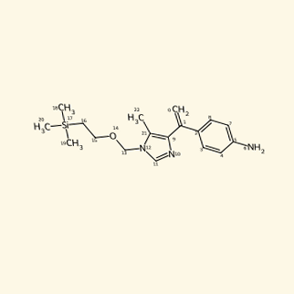 C=C(c1ccc(N)cc1)c1ncn(COCC[Si](C)(C)C)c1C